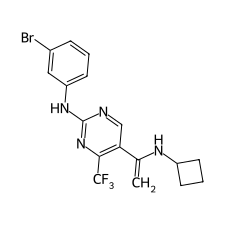 C=C(NC1CCC1)c1cnc(Nc2cccc(Br)c2)nc1C(F)(F)F